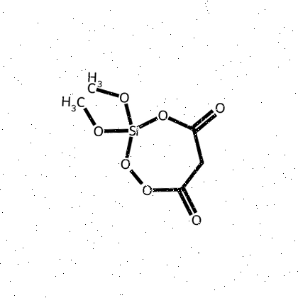 CO[Si]1(OC)OOC(=O)CC(=O)O1